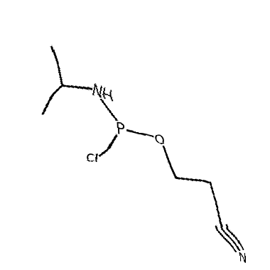 CC(C)NP(Cl)OCCC#N